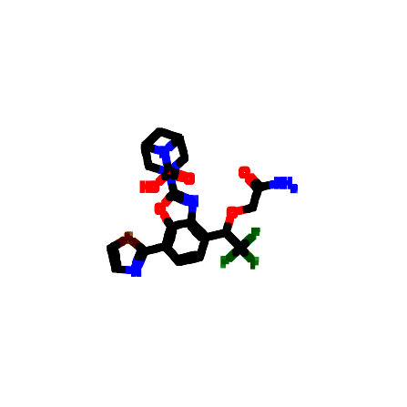 NC(=O)COC(c1ccc(-c2nccs2)c2oc(N3CC4CC(C3)N4C(=O)O)nc12)C(F)(F)F